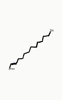 CCCCCC/C=C/CCCCCCCCCCO